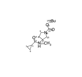 CC1(NC(=O)C2CC2)CCN(C(=O)OC(C)(C)C)C1